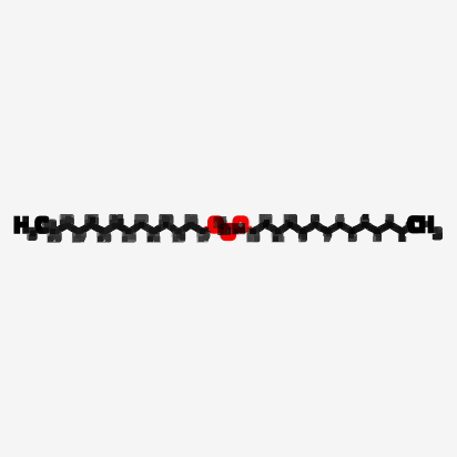 CCCCCCCCCCCCCCOOOCCCCCCCCCCCCCC